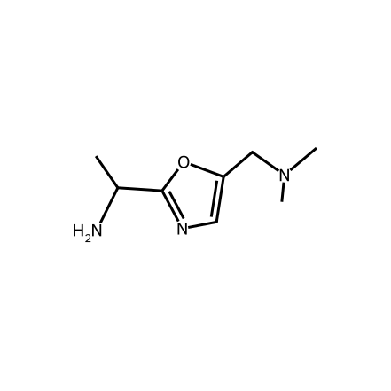 CC(N)c1ncc(CN(C)C)o1